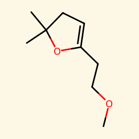 COCCC1=CCC(C)(C)O1